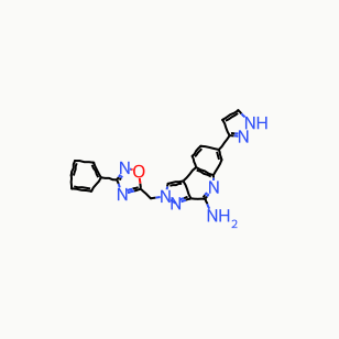 Nc1nc2cc(-c3cc[nH]n3)ccc2c2cn(Cc3nc(-c4ccccc4)no3)nc12